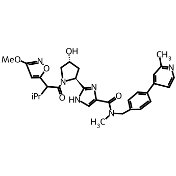 COc1cc(C(C(=O)N2C[C@H](O)C[C@H]2c2nc(C(=O)N(C)Cc3ccc(-c4ccnc(C)c4)cc3)c[nH]2)C(C)C)on1